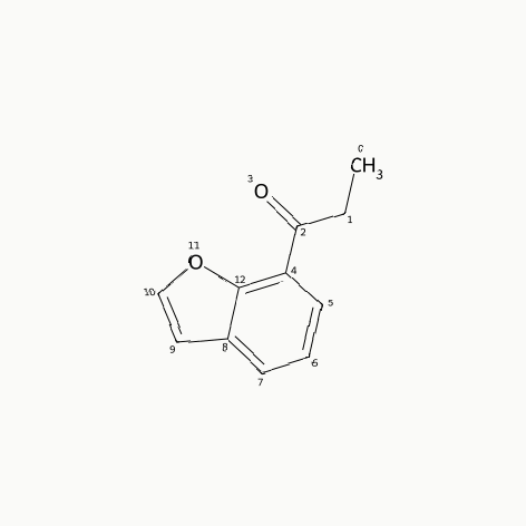 CCC(=O)c1cccc2ccoc12